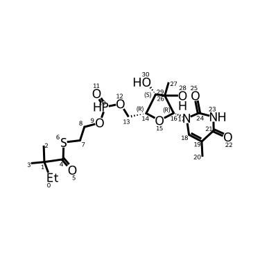 CCC(C)(C)C(=O)SCCO[PH](=O)OC[C@H]1O[C@@H](n2cc(C)c(=O)[nH]c2=O)C(C)(O)[C@H]1O